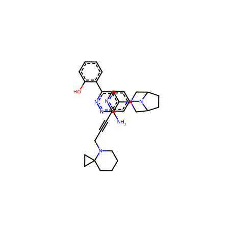 Nc1nnc(-c2ccccc2O)cc1N1CC2CCC(C1)N2c1ccnc(C#CCN2CCCCC23CC3)c1